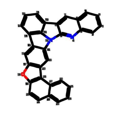 c1ccc2nc3c(cc2c1)c1cccc2c4cc5oc6ccc7ccccc7c6c5cc4n3c21